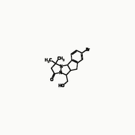 CC1(C)CC(=O)N2C(CO)C3Cc4cc(Br)ccc4C3N21